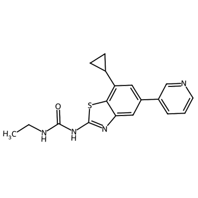 CCNC(=O)Nc1nc2cc(-c3cccnc3)cc(C3CC3)c2s1